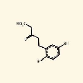 CCOC(=O)CC(=O)CCc1cc(O)ccc1Br